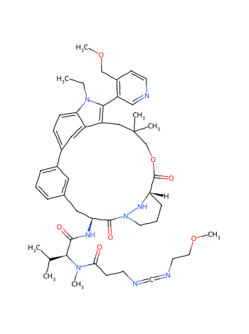 CCn1c(-c2cnccc2COC)c2c3cc(ccc31)-c1cccc(c1)C[C@H](NC(=O)[C@H](C(C)C)N(C)C(=O)CCN=C=NCCOC)C(=O)N1CCC[C@H](N1)C(=O)OCC(C)(C)C2